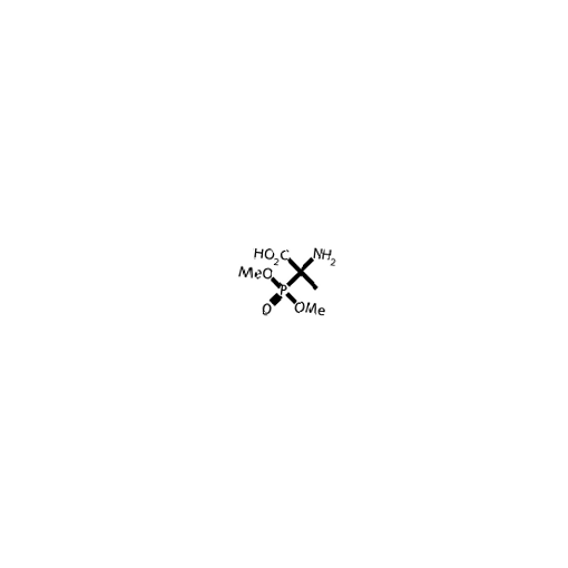 COP(=O)(OC)C(C)(N)C(=O)O